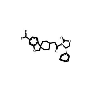 O=C(CC1CCC2(CC1)COc1cc(C(F)F)ccc12)N1C(=O)OC[C@@H]1c1ccccc1